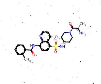 Cc1ccccc1C(=O)Nc1ccc(S(=O)(=O)N[C@H]2CCN(C(=O)[C@H](C)N)C[C@H]2C)c2cccnc12